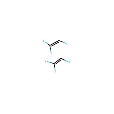 FC=C(F)F.FC=C(F)F